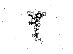 C=CC(=O)OCCOC(=O)/C(C#N)=C1\Oc2cc(Cl)ccc2N1CCCC